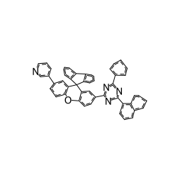 c1ccc(-c2nc(-c3ccc4c(c3)C3(c5cc(-c6cccnc6)ccc5O4)c4ccccc4-c4ccccc43)nc(-c3cccc4ccccc34)n2)cc1